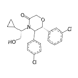 O=C1CO[C@H](c2cccc(Cl)c2)C(c2ccc(Cl)cc2)N1[C@H](CO)C1CC1